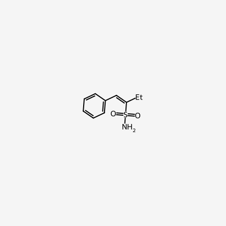 CCC(=Cc1ccccc1)S(N)(=O)=O